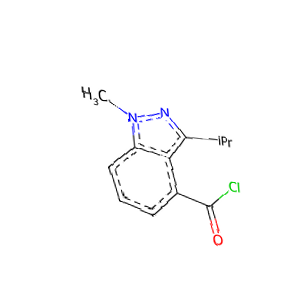 CC(C)c1nn(C)c2cccc(C(=O)Cl)c12